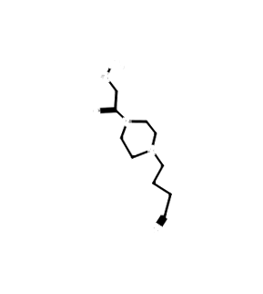 CNCC(=O)N1CCN(CCCC#N)CC1